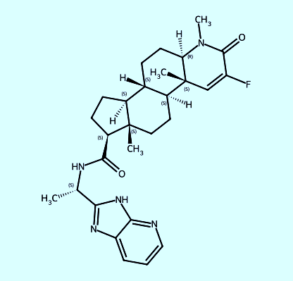 C[C@H](NC(=O)[C@H]1CC[C@H]2[C@@H]3CC[C@H]4N(C)C(=O)C(F)=C[C@]4(C)[C@H]3CC[C@]12C)c1nc2cccnc2[nH]1